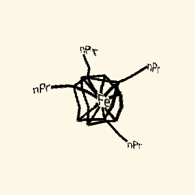 CCC[C]12[CH]3[C]4(CCC)[C]5(CCC)[C]1(CCC)[Fe]32451678[CH]2[CH]1[CH]6[CH]7[CH]28